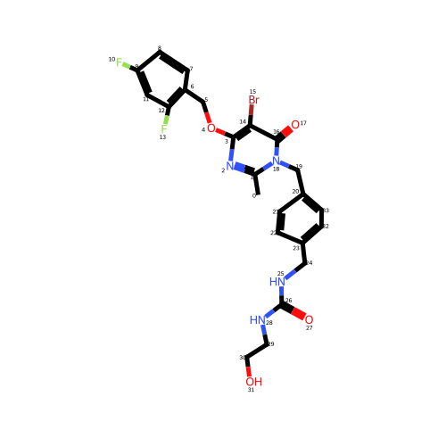 Cc1nc(OCc2ccc(F)cc2F)c(Br)c(=O)n1Cc1ccc(CNC(=O)NCCO)cc1